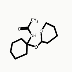 CC(=O)NC1(OC2CCCCO2)CCCCC1